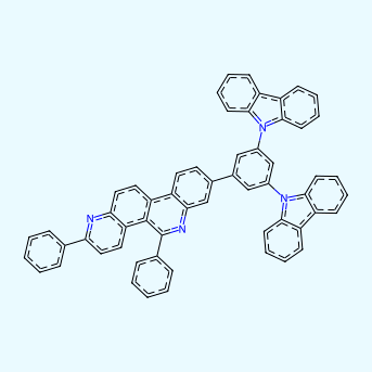 c1ccc(-c2ccc3c(ccc4c5ccc(-c6cc(-n7c8ccccc8c8ccccc87)cc(-n7c8ccccc8c8ccccc87)c6)cc5nc(-c5ccccc5)c34)n2)cc1